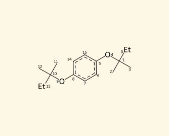 CCC(C)(C)Oc1ccc(OC(C)(C)CC)cc1